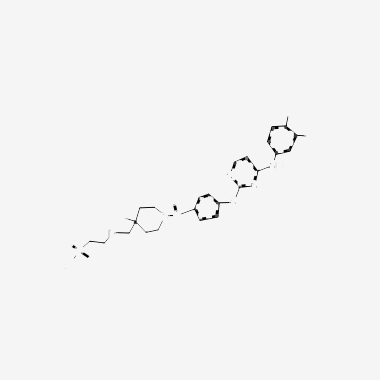 Cc1cc(Nc2ccnc(Nc3ccc(S(=O)(=O)N4CCC(O)(CNCCS(C)(=O)=O)CC4)cc3)n2)ccc1F